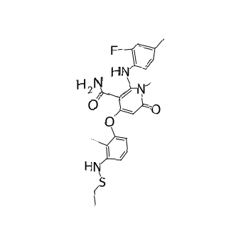 CCSNc1cccc(Oc2cc(=O)n(C)c(Nc3ccc(C)cc3F)c2C(N)=O)c1C